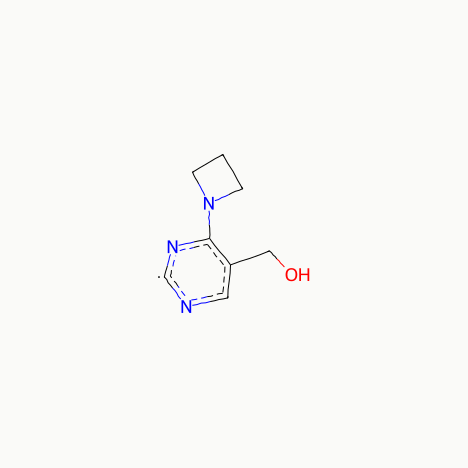 OCc1cn[c]nc1N1CCC1